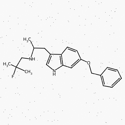 CC(Cc1c[nH]c2cc(OCc3ccccc3)ccc12)NCC(C)(C)F